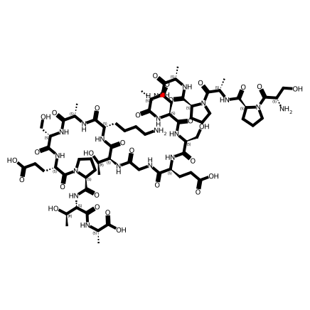 C[C@H](NC(=O)[C@@H](NC(=O)[C@@H]1CCCN1C(=O)[C@H](CCC(=O)O)NC(=O)[C@H](CO)NC(=O)[C@H](C)NC(=O)[C@H](CCCCN)NC(=O)[C@@H](NC(=O)CNC(=O)[C@H](CCC(=O)O)NC(=O)[C@H](CO)NC(=O)[C@H](CC(N)=O)NC(=O)[C@H](C)NC(=O)[C@H](C)NC(=O)[C@@H]1CCCN1C(=O)[C@H](C)NC(=O)[C@@H]1CCCN1C(=O)[C@@H](N)CO)[C@@H](C)O)[C@@H](C)O)C(=O)O